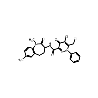 Cc1ccc2c(c1)CCC(NC(=O)c1nn(-c3ccccc3)c(CCl)c(Cl)c1=O)C(=O)N2C